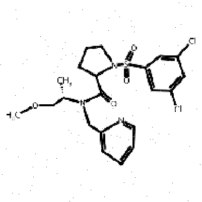 COC[C@H](C)N(Cc1ccccn1)C(=O)C1CCCN1S(=O)(=O)c1cc(Cl)cc(Cl)c1